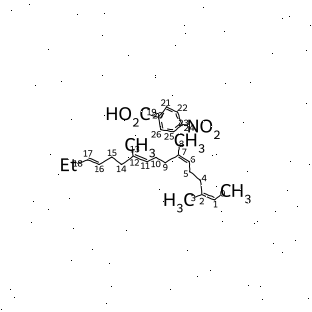 C/C=C(/C)CC/C=C(/C)CC/C=C(\C)CCC=CCC.O=C(O)c1ccc([N+](=O)[O-])cc1